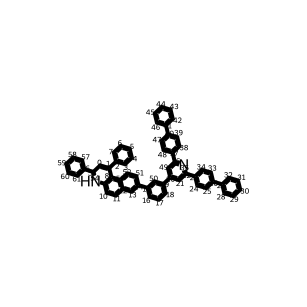 C1=C(c2ccccc2)c2c(ccc3cc(-c4cccc(-c5cc(-c6ccc(-c7ccccc7)cc6)nc(-c6ccc(-c7ccccc7)cc6)c5)c4)ccc23)NC1c1ccccc1